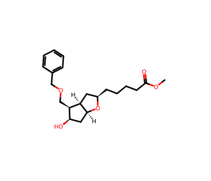 COC(=O)CCCC[C@@H]1C[C@@H]2[C@H](COCc3ccccc3)[C@H](O)C[C@@H]2O1